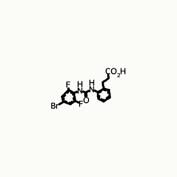 O=C(O)CCc1ccccc1NC(=O)Nc1c(F)cc(Br)cc1F